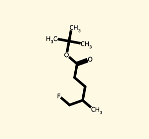 CC(CF)CCC(=O)OC(C)(C)C